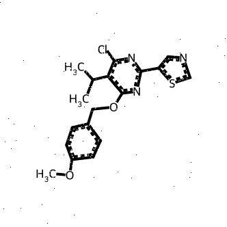 COc1ccc(COc2nc(-c3cncs3)nc(Cl)c2C(C)C)cc1